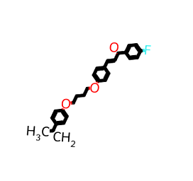 C=C(C)c1ccc(OCCCCOc2ccc(/C=C/C(=O)c3ccc(F)cc3)cc2)cc1